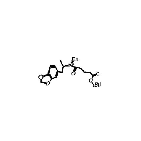 CCN(C(=O)CCCC(=O)OC(C)(C)C)C(C)Cc1ccc2c(c1)OCO2